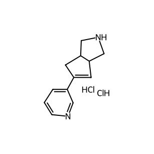 C1=C(c2cccnc2)CC2CNCC12.Cl.Cl